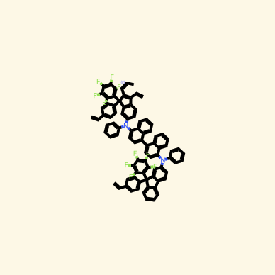 C=CC1=C(/C=C\C)C(c2ccc(C=C)cc2)(c2c(F)c(F)c(F)c(F)c2F)c2cc(N(c3ccccc3)c3ccc(-c4ccc(N(c5ccccc5)c5ccc6c(c5)C(c5ccc(C=C)cc5)(c5c(F)c(F)c(F)c(F)c5F)c5ccccc5-6)c5ccccc45)c4ccccc34)ccc21